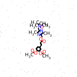 CO/[N+](=C\c1nc(C)c(COC(=O)/C=C/c2ccc(OC(C)=O)c(OC(C)=O)c2)nc1C)C(C)(C)C